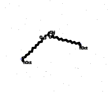 CCCCCCCC/C=C\CCCCCCCCCCCC(=O)OC[C@H](CO)OC(=O)CCCCCCCCCCC/C=C\CCCCCCCC